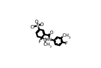 COC1(F)CC=C(S(=O)(=O)Cl)C=C1C(=O)Nc1ccc(F)c(C)c1